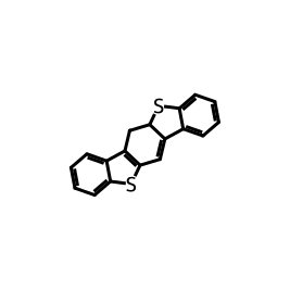 C1=C2c3ccccc3SC2Cc2c1sc1ccccc21